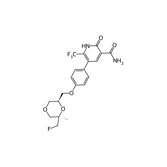 C[C@]1(CF)COC[C@@H](COc2ccc(-c3cc(C(N)=O)c(=O)[nH]c3C(F)(F)F)cc2)O1